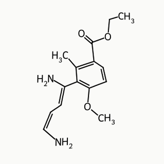 CCOC(=O)c1ccc(OC)c(/C(N)=C/C=C\N)c1C